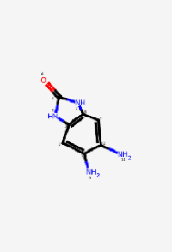 Nc1cc2[nH]c(=O)[nH]c2cc1N